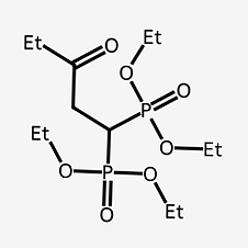 CCOP(=O)(OCC)C(CC(=O)CC)P(=O)(OCC)OCC